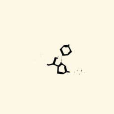 COc1ccc2c(CC(=O)O)c(C)n(-c3ccc(Cl)cc3)c2c1